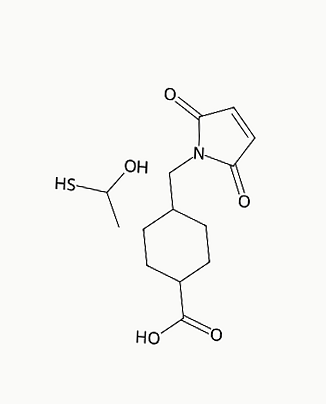 CC(O)S.O=C(O)C1CCC(CN2C(=O)C=CC2=O)CC1